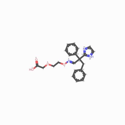 O=C(O)COCCON=CC(Cc1ccccc1)(c1ccccc1)c1ncc[nH]1